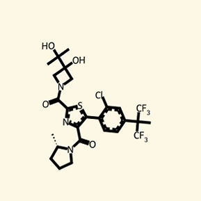 C[C@H]1CCCN1C(=O)c1nc(C(=O)N2CC(O)(C(C)(C)O)C2)sc1-c1ccc(C(C)(C(F)(F)F)C(F)(F)F)cc1Cl